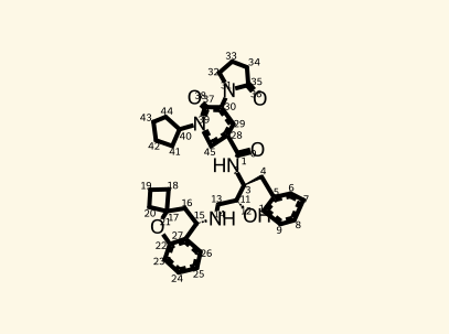 O=C(N[C@@H](Cc1ccccc1)[C@H](O)CN[C@H]1CC2(CCC2)Oc2ccccc21)c1cc(N2CCCC2=O)c(=O)n(C2CCCC2)c1